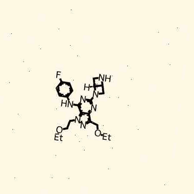 CCOCCn1nc(COCC)c2nc(N3CC4NC[C@H]43)nc(Nc3ccc(F)cc3)c21